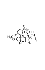 CO[C@@H]1C[C@H]2CSC(N(C(=O)O)C(C)(C)C)=N[C@@]2(c2cc([N+](=O)[O-])ccc2F)C1